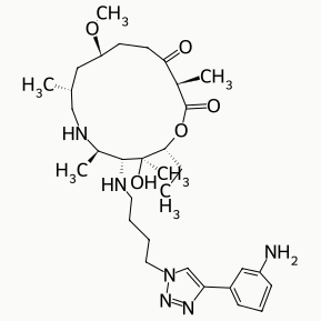 CC[C@H]1OC(=O)[C@H](C)C(=O)CC[C@H](OC)C[C@@H](C)CN[C@H](C)[C@@H](NCCCCn2cc(-c3cccc(N)c3)nn2)[C@]1(C)O